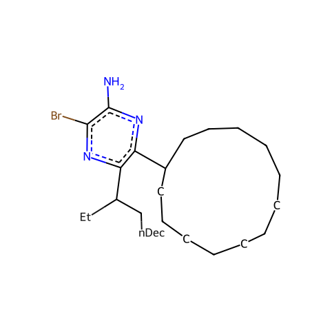 CCCCCCCCCCCC(CC)c1nc(Br)c(N)nc1C1CCCCCCCCCCCC1